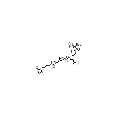 CC[C@@H](C)N[C@H](C(=O)N/C=C\C[C@H](C/C=C(\C)Cl)OC(=O)NCCCNC(=O)CCCCCN1C(=O)C=CC1=O)C(C)(C)C